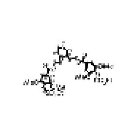 CCOC(=O)Oc1c(OC)cc(C(=O)OCCC2CNCCN2CCOC(=O)c2cc(OC)c(OC(=O)OCC)c(OC)c2)cc1OC